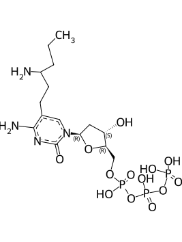 CCCC(N)CCc1cn([C@H]2C[C@H](O)[C@@H](COP(=O)(O)OP(=O)(O)OP(=O)(O)O)O2)c(=O)nc1N